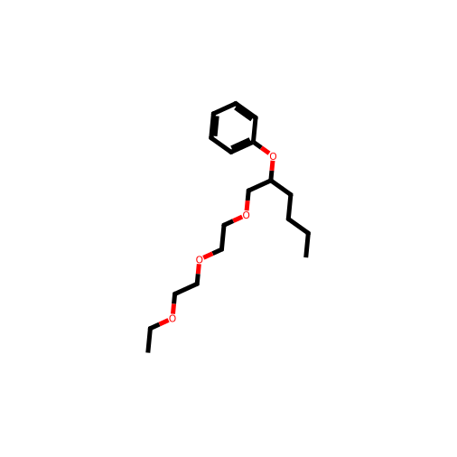 CCCCC(COCCOCCOCC)Oc1ccccc1